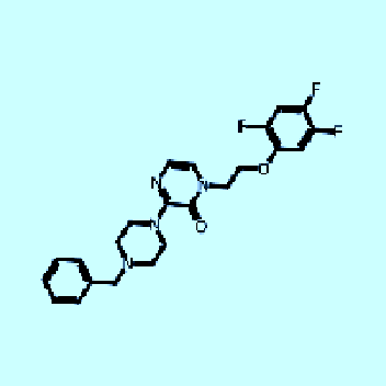 O=c1c(N2CCN(Cc3ccccc3)CC2)nccn1CCOc1cc(F)c(F)cc1F